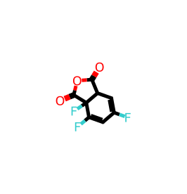 O=C1OC(=O)C2(F)C(F)=CC(F)=CC12